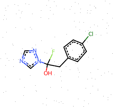 OC(F)(Cc1ccc(Cl)cc1)n1cncn1